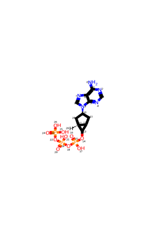 Nc1ncnc2c1ncn2[C@H]1CC2C(OP(=O)(O)OP(=O)(O)OP(=O)(O)O)[C@H]2C1